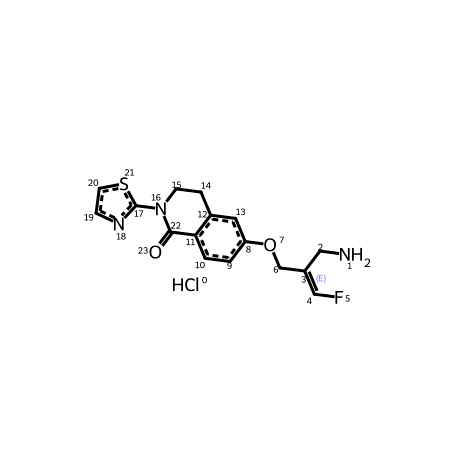 Cl.NC/C(=C\F)COc1ccc2c(c1)CCN(c1nccs1)C2=O